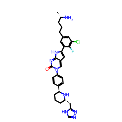 C[C@H](N)CCCc1cc(Cl)c(F)c(-c2cc3cn(-c4ccc([C@@H]5CCC[C@@H](Cc6nnc[nH]6)N5)cc4)c(=O)nc3[nH]2)c1